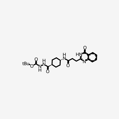 CC(C)(C)OC(=O)NNC(=O)[C@H]1CC[C@H](NC(=O)CCc2nc3ccccc3c(=O)[nH]2)CC1